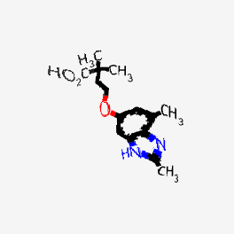 Cc1nc2c(C)cc(OCCC(C)(C)C(=O)O)cc2[nH]1